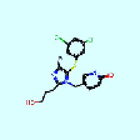 CC(C)c1nc(CCCO)n(Cc2ccc(=O)[nH]c2)c1Sc1cc(Cl)cc(Cl)c1